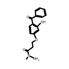 CN(N)C(=O)CCOc1ccc(C(=O)c2ccccc2)c(O)c1